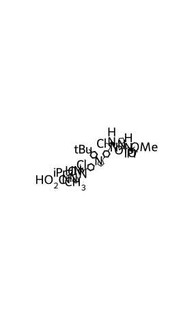 COC(=O)N[C@H](C(=O)N1CCC[C@H]1c1nc(-c2ccc([C@H]3CC[C@H](c4ccc(-c5nc([C@@H]6CCCN6C(=O)[C@H](C(C)C)N(C)C(=O)O)[nH]c5Cl)cc4)N3c3ccc(C(C)(C)C)cc3)cc2)c(Cl)[nH]1)C(C)C